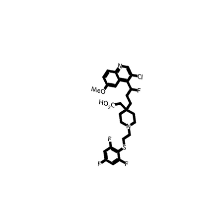 COc1ccc2ncc(Cl)c(C(F)CCC3(CC(=O)O)CCN(CCSc4c(F)cc(F)cc4F)CC3)c2c1